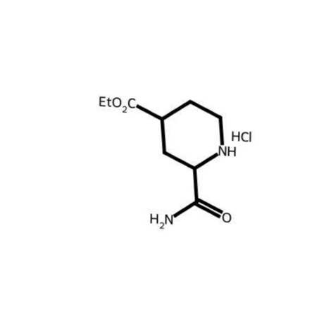 CCOC(=O)C1CCNC(C(N)=O)C1.Cl